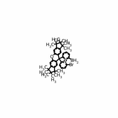 Bc1cccc(C2(c3cccc(Br)n3)c3cc4c(cc3Oc3cc5c(cc32)C(C)(C)C(C)(C)C5(C)C)C(C)(C)C(C)(C)C4(C)C)n1